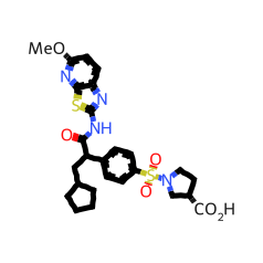 COc1ccc2nc(NC(=O)C(CC3CCCC3)c3ccc(S(=O)(=O)N4CCC(C(=O)O)C4)cc3)sc2n1